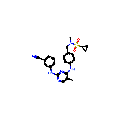 Cc1cnc(Nc2cccc(C#N)c2)nc1Nc1ccc(CN(C)S(=O)(=O)C2CC2)cc1